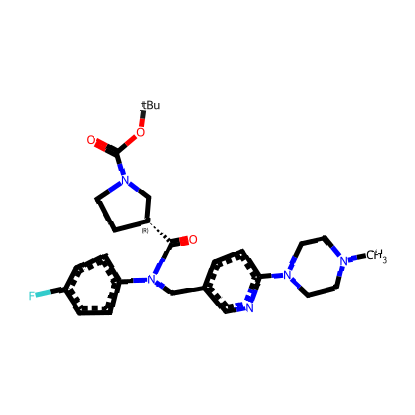 CN1CCN(c2ccc(CN(C(=O)[C@@H]3CCN(C(=O)OC(C)(C)C)C3)c3ccc(F)cc3)cn2)CC1